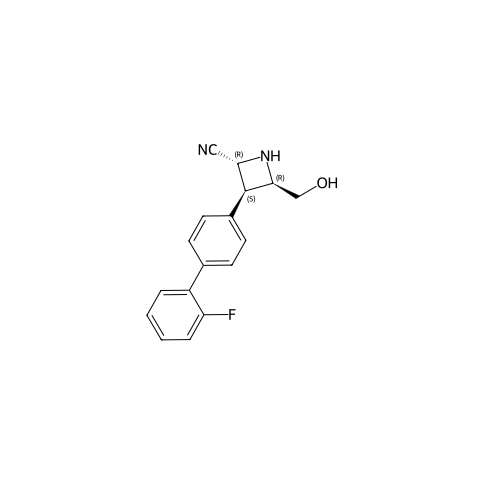 N#C[C@@H]1N[C@@H](CO)[C@H]1c1ccc(-c2ccccc2F)cc1